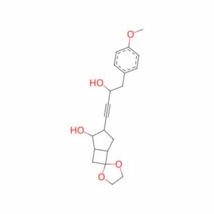 COc1ccc(CC(O)C#CC2CC3C(CC34OCCO4)C2O)cc1